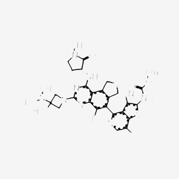 CN1CC[C@@H](Nc2nc(N3CC(C)(N(C)C)C3)nc3c(F)c(-c4ncc(F)c5sc(NC(=O)OC(C)(C)C)c(C#N)c45)c4c(c23)COC4)C1=O